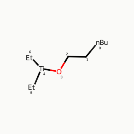 CCCCCC[O][Ti]([CH2]C)[CH2]C